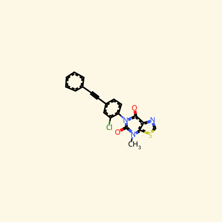 Cn1c(=O)n(-c2ccc(C#Cc3ccccc3)cc2Cl)c(=O)c2ncsc21